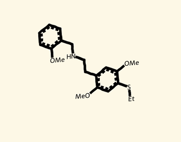 CCSc1cc(OC)c(CCNCc2ccccc2OC)cc1OC